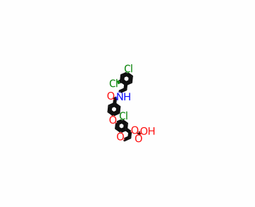 O=C(O)OC1CCOc2cc(Oc3ccc(C(=O)NCCc4ccc(Cl)cc4Cl)cc3)c(Cl)cc21